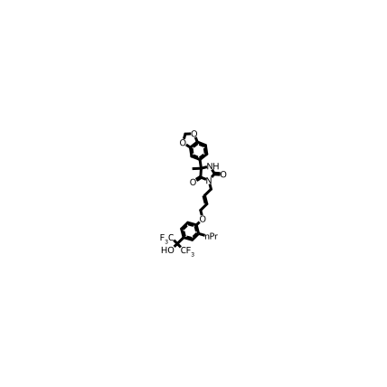 CCCc1cc(C(O)(C(F)(F)F)C(F)(F)F)ccc1OC/C=C/CN1C(=O)NC(C)(c2ccc3c(c2)OCO3)C1=O